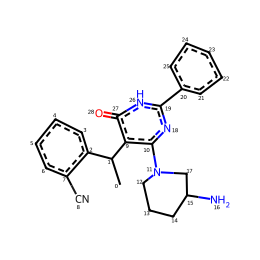 CC(c1ccccc1C#N)c1c(N2CCCC(N)C2)nc(-c2ccccc2)[nH]c1=O